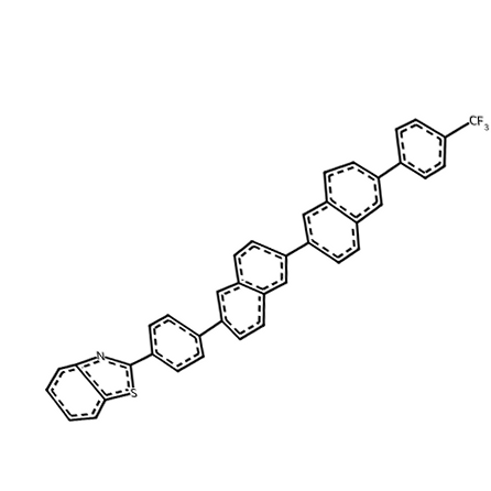 FC(F)(F)c1ccc(-c2ccc3cc(-c4ccc5cc(-c6ccc(-c7nc8ccccc8s7)cc6)ccc5c4)ccc3c2)cc1